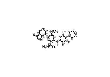 CNc1nc(Nc2cc(F)c(N3CCOCC3)c(F)c2F)c(C(N)=O)nc1-c1cncc2c1ncn2C